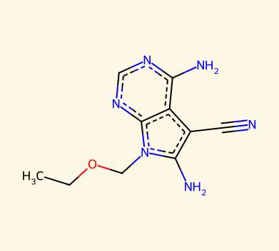 CCOCn1c(N)c(C#N)c2c(N)ncnc21